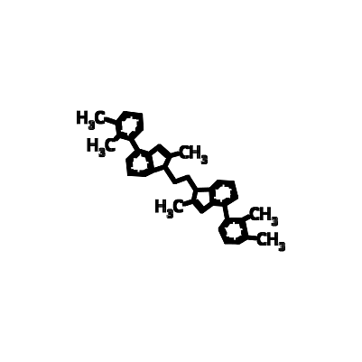 CC1=Cc2c(-c3cccc(C)c3C)cccc2C1CCC1C(C)=Cc2c(-c3cccc(C)c3C)cccc21